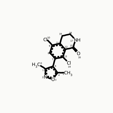 Cc1noc(C)c1-c1cc(Cl)c2c(c1Cl)C(=O)NCC2